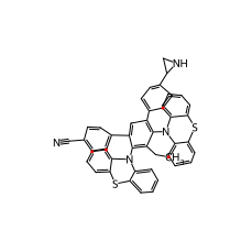 CCc1c(N2c3ccccc3Sc3ccccc32)c(-c2ccc(C#N)cc2)cc(-c2ccc(C3CN3)cc2)c1N1c2ccccc2Sc2ccccc21